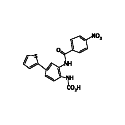 O=C(O)Nc1ccc(-c2cccs2)cc1NC(=O)c1ccc([N+](=O)[O-])cc1